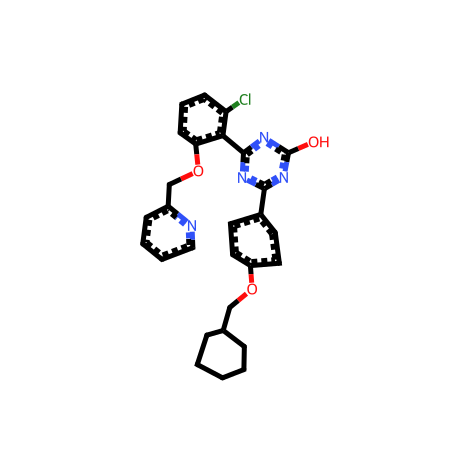 Oc1nc(-c2ccc(OCC3CCCCC3)cc2)nc(-c2c(Cl)cccc2OCc2ccccn2)n1